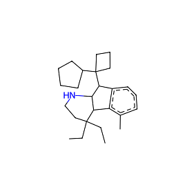 CCC1(CC)CCNC2C1c1c(C)cccc1C2C1(C2CCCC2)CCC1